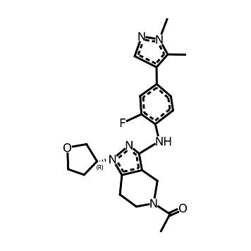 CC(=O)N1CCc2c(c(Nc3ccc(-c4cnn(C)c4C)cc3F)nn2[C@@H]2CCOC2)C1